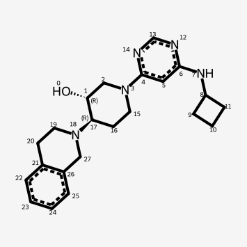 O[C@@H]1CN(c2cc(NC3CCC3)ncn2)CC[C@H]1N1CCc2ccccc2C1